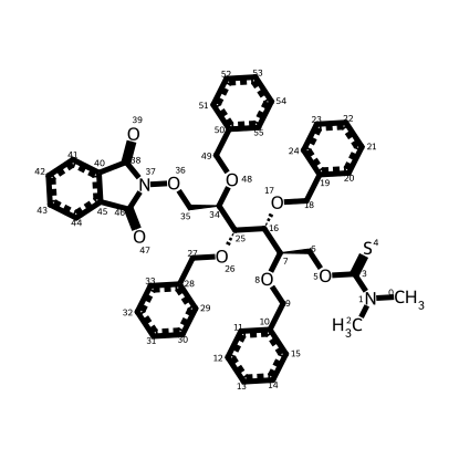 CN(C)C(=S)OC[C@@H](OCc1ccccc1)[C@@H](OCc1ccccc1)[C@H](OCc1ccccc1)[C@@H](CON1C(=O)c2ccccc2C1=O)OCc1ccccc1